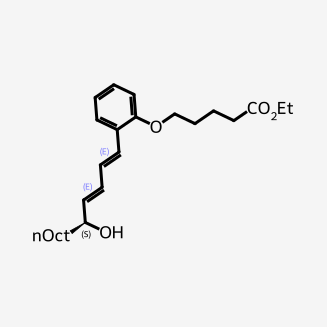 CCCCCCCC[C@H](O)/C=C/C=C/c1ccccc1OCCCCC(=O)OCC